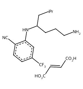 CC(C)CC(CCCN)Nc1cc(C(F)(F)F)ccc1C#N.O=C(O)/C=C/C(=O)O